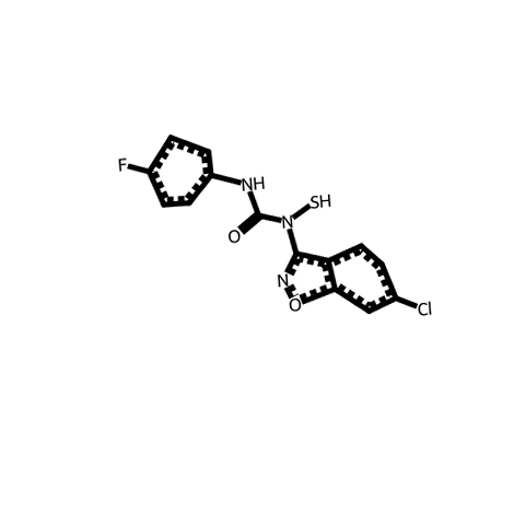 O=C(Nc1ccc(F)cc1)N(S)c1noc2cc(Cl)ccc12